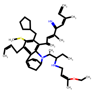 C=C/C(C)=C\C(=N)/C(C)=C/C(=C)c1c(CC2CCCC2)c(SC)c(C/C=C\C)c2c1N([C@H](C)C(CC)NC/C=C(/C)OCC)C1C=CC2=CC1